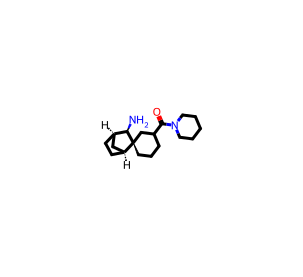 N[C@@H]1[C@@H]2CC[C@@H](C2)[C@]12CCCC(C(=O)N1CCCCC1)C2